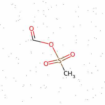 CS(=O)(=O)O[C]=O